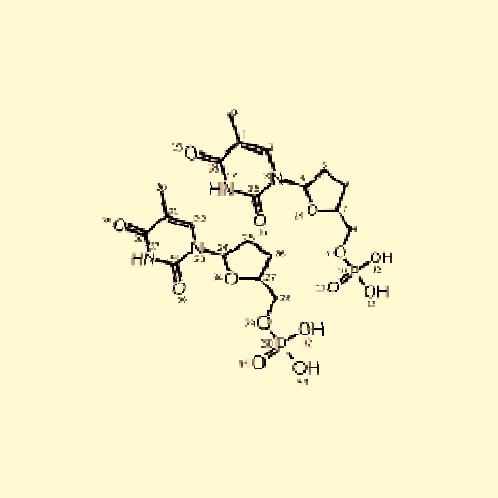 Cc1cn([C@H]2CC[C@@H](COP(=O)(O)O)O2)c(=O)[nH]c1=O.Cc1cn([C@H]2CC[C@@H](COP(=O)(O)O)O2)c(=O)[nH]c1=O